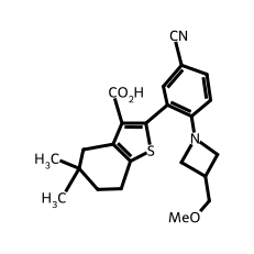 COCC1CN(c2ccc(C#N)cc2-c2sc3c(c2C(=O)O)CC(C)(C)CC3)C1